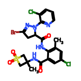 Cc1cc(Cl)cc(C(=O)NC2(C)CS(=O)(=O)C2)c1NC(=O)C1CC(Br)=NN1c1ncccc1Cl